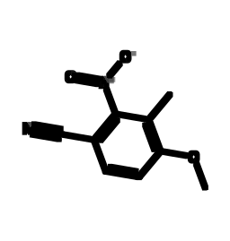 COc1ccc(C#N)c([N+](=O)[O-])c1C